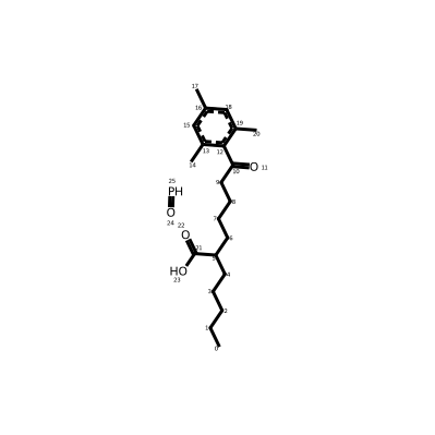 CCCCCC(CCCCC(=O)c1c(C)cc(C)cc1C)C(=O)O.O=P